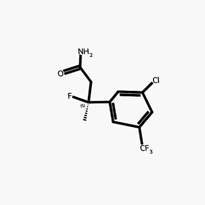 C[C@](F)(CC(N)=O)c1cc(Cl)cc(C(F)(F)F)c1